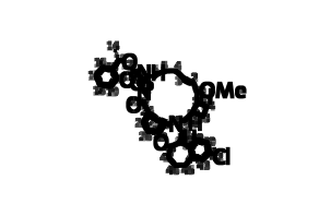 CO[C@H]1/C=C/CCC[S@@](=O)(NC(=O)O[C@@H](C)c2ccccc2)=NC(=O)c2ccc3c(c2)N(C[C@@H]2CC[C@H]21)C[C@@H]1c2ccc(Cl)cc2CCCC1O3